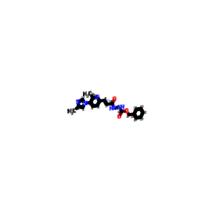 Cc1cn(-c2ccc(/C=C/C(=O)NNC(=O)OCc3ccccc3)nc2C)cn1